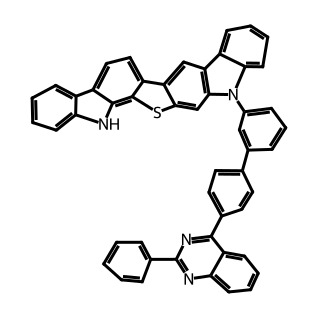 c1ccc(-c2nc(-c3ccc(-c4cccc(-n5c6ccccc6c6cc7c(cc65)sc5c7ccc6c7ccccc7[nH]c65)c4)cc3)c3ccccc3n2)cc1